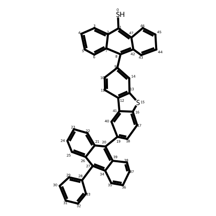 Sc1c2ccccc2c(-c2ccc3c(c2)sc2ccc(-c4c5ccccc5c(-c5ccccc5)c5ccccc45)cc23)c2ccccc12